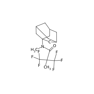 CN(C(=O)C(C)(C(F)(F)F)C(F)(F)F)C12CC3CC(CC(C3)C1)C2